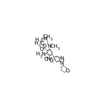 COC(=O)c1c(N(C)CCN(C)C)cc(-c2ccc3c(c2)ncn3C2CCCOC2)c([N+](=O)[O-])c1N